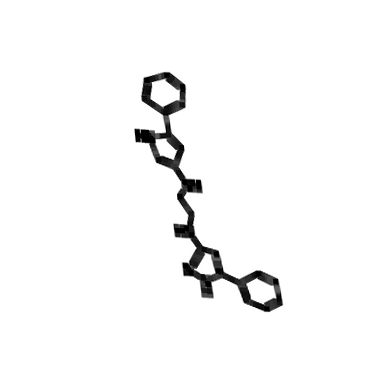 c1ccc(-c2cc(NCCNc3cc(-c4ccccc4)[nH]n3)c[nH]2)cc1